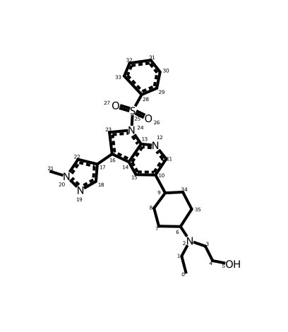 CCN(CCO)C1CCC(c2cnc3c(c2)c(-c2cnn(C)c2)cn3S(=O)(=O)c2ccccc2)CC1